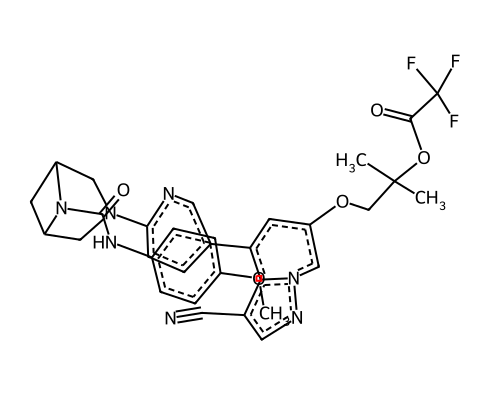 COc1ccc(NC(=O)N2C3CC2CN(c2ccc(-c4cc(OCC(C)(C)OC(=O)C(F)(F)F)cn5ncc(C#N)c45)cn2)C3)cc1